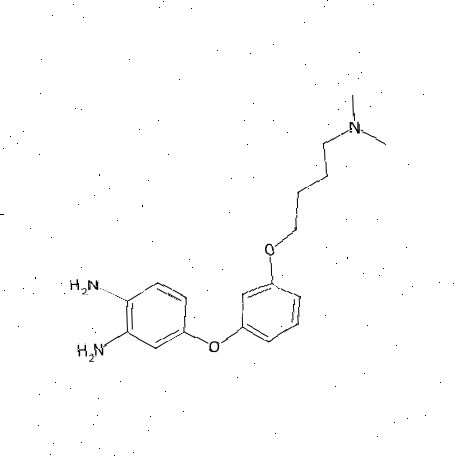 CN(C)CCCCOc1cccc(Oc2ccc(N)c(N)c2)c1